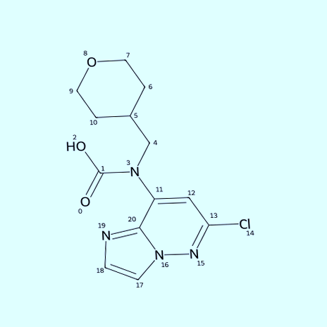 O=C(O)N(CC1CCOCC1)c1cc(Cl)nn2ccnc12